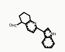 O=CC1CCCc2nc(-c3c[nH]c4ccccc34)ccc21